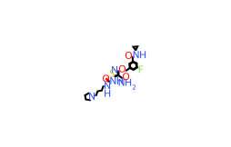 NC(=O)c1c(OCc2cc(F)cc(C(=O)NC3CC3)c2)nsc1NC(=O)NCCCCN1CCCC1